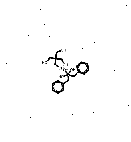 OCC(CO)(CO)CO.OP(O)(O)(Cc1ccccc1)Cc1ccccc1